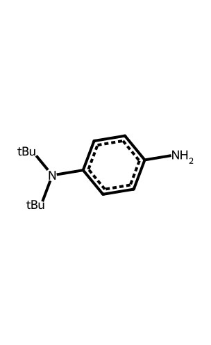 CC(C)(C)N(c1ccc(N)cc1)C(C)(C)C